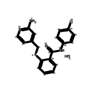 Cl.Nc1cc(CSc2ccccc2C(=O)Nc2ccc(Cl)cc2)ccn1